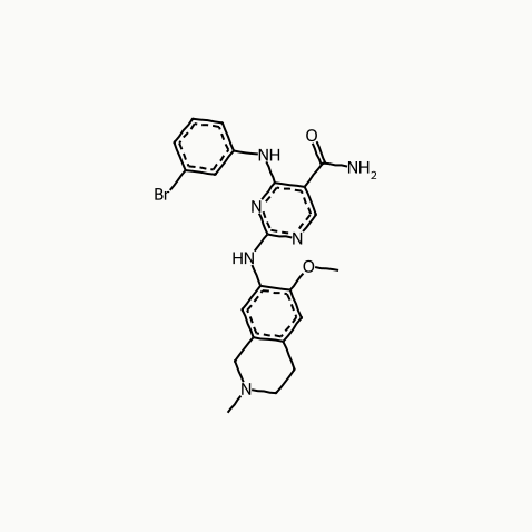 COc1cc2c(cc1Nc1ncc(C(N)=O)c(Nc3cccc(Br)c3)n1)CN(C)CC2